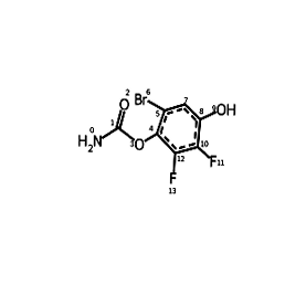 NC(=O)Oc1c(Br)cc(O)c(F)c1F